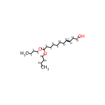 CCCCOC(CCCCCC/C=C/CCO)OCCCC